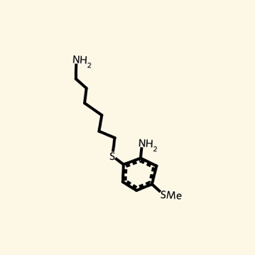 CSc1ccc(SCCCCCCN)c(N)c1